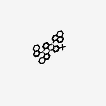 CC(C)(C)c1ccc2c(c1)N(c1ccc3c4c(cccc14)CCC3)c1cccc3c1B2c1ccc2c(c1N3c1cccc3c1CCCC3)CCCC2